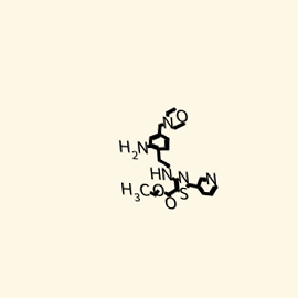 CCOC(=O)c1sc(-c2cccnc2)nc1NCCc1ccc(CN2CCOCC2)cc1N